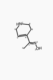 CC(=NO)C1=CCNCC1